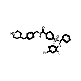 O=C(NCc1ccc(CC2CCNCC2)cc1)c1ccc(S(=O)(=O)N(Oc2ccc(Br)cc2Cl)c2ccccc2)cc1